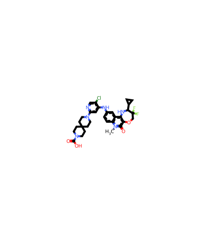 Cn1c(=O)c2c(c3cc(Nc4cc(N5CCC6(CCN(C(=O)O)CC6)CC5)ncc4Cl)ccc31)NC(C1CC1)C(F)(F)CO2